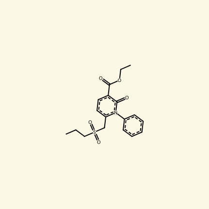 CCCS(=O)(=O)Cc1ccc(C(=O)OCC)c(=O)n1-c1ccccc1